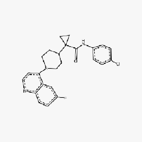 O=C(Nc1ccc(Cl)cc1)C1(C2CCN(c3ccnc4ccc(F)cc34)CC2)CC1